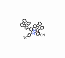 N#Cc1ccc(-c2nc(-c3ccc(C#N)cc3)c3cc(-c4ccc5c(c4)C4(c6ccccc6-c6ccccc64)c4ccccc4-5)cc(-c4ccc5c(c4)C4(c6ccccc6-c6ccccc64)c4ccccc4-5)c3n2)cc1